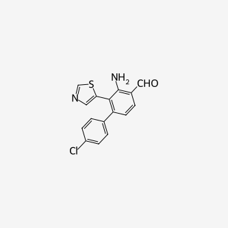 Nc1c(C=O)ccc(-c2ccc(Cl)cc2)c1-c1cncs1